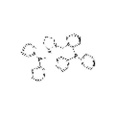 c1ccc(P(C[C@@H]2CCCN2Cc2ccccc2P(c2ccccc2)c2ccccc2)c2ccccc2)cc1